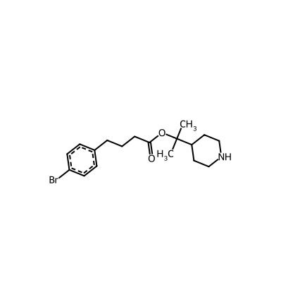 CC(C)(OC(=O)CCCc1ccc(Br)cc1)C1CCNCC1